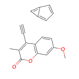 C#Cc1c(C)c(=O)oc2cc(OC)ccc12.c1cc2cc-2c1